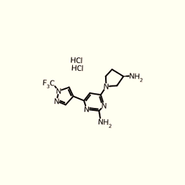 Cl.Cl.Nc1nc(-c2cnn(C(F)(F)F)c2)cc(N2CC[C@@H](N)C2)n1